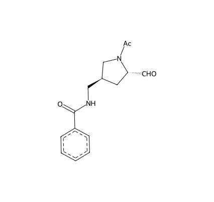 CC(=O)N1C[C@H](CNC(=O)c2ccccc2)C[C@H]1C=O